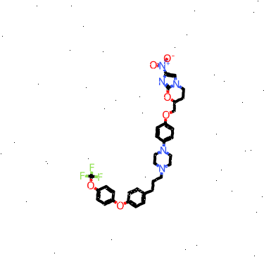 O=[N+]([O-])c1cn2c(n1)OC(COc1ccc(N3CCN(CCCc4ccc(Oc5ccc(OC(F)(F)F)cc5)cc4)CC3)cc1)CC2